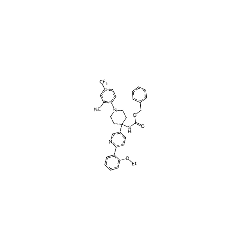 CCOc1ccccc1-c1ccc(C2(NC(=O)OCc3ccccc3)CCN(c3ccc(C(F)(F)F)cc3C#N)CC2)cn1